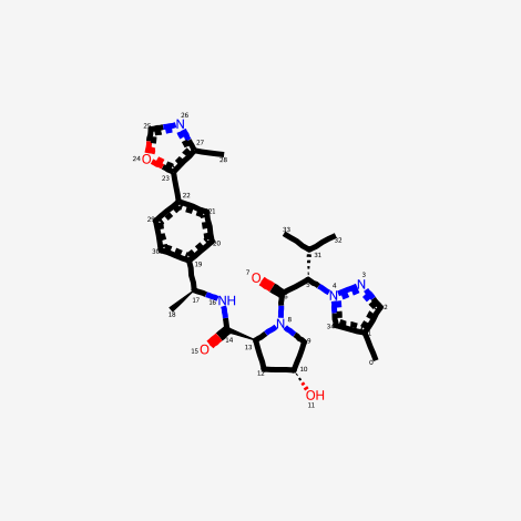 Cc1cnn([C@H](C(=O)N2C[C@H](O)C[C@H]2C(=O)N[C@@H](C)c2ccc(-c3ocnc3C)cc2)C(C)C)c1